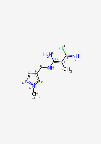 C/C(C(=N)Cl)=C(/N)NCc1cnn(C)c1